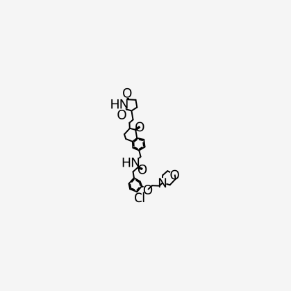 O=C(Cc1ccc(Cl)c(OCCN2CCOCC2)c1)NCc1ccc2c(c1)CCC(CCC1CCC(=O)NC1=O)C2=O